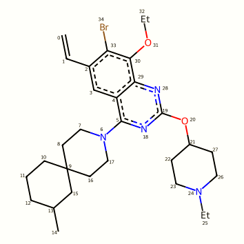 C=Cc1cc2c(N3CCC4(CCCC(C)C4)CC3)nc(OC3CCN(CC)CC3)nc2c(OCC)c1Br